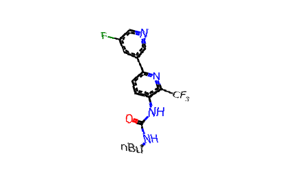 CCCCNC(=O)Nc1ccc(-c2cncc(F)c2)nc1C(F)(F)F